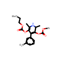 COCCOC(=O)OC1=C(C)NC(C)C(OC(=O)OC(C)C)=C1c1cccc([N+](=O)[O-])c1